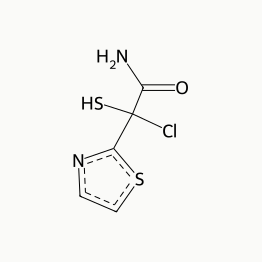 NC(=O)C(S)(Cl)c1nccs1